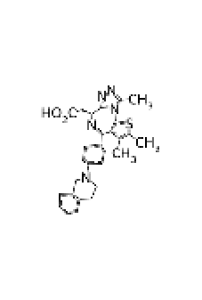 Cc1sc2c(c1C)C(c1ccc(N3CCc4ccccc4C3)cc1)=N[C@@H](CC(=O)O)c1nnc(C)n1-2